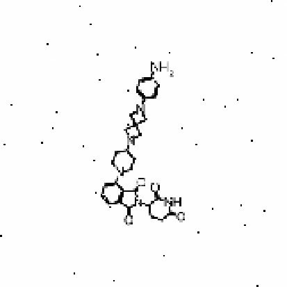 Nc1ccc(N2CC3(C2)CN(C2CCN(c4cccc5c4C(=O)N(C4CCC(=O)NC4=O)C5=O)CC2)C3)cc1